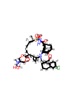 C[C@@H]1[C@@H](C)CCC[C@H]([C@H]2OC[C@](CO)(N(C)C)CO2)[C@@H]2CC[C@H]2CN2C[C@@]3(CCCc4cc(Cl)ccc43)COc3ccc(cc32)C(=O)NS1(=O)=O